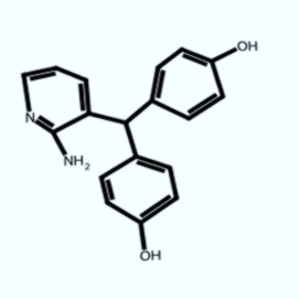 Nc1ncccc1C(c1ccc(O)cc1)c1ccc(O)cc1